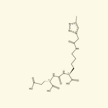 O=C(O)CC[C@H](NC(=O)N[C@@H](CCCCNC(=O)Cn1cc(I)nn1)C(=O)O)C(=O)O